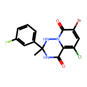 CC1(c2cccc(F)c2)NC(=O)c2c(Cl)cc(Br)c(=O)n2N1